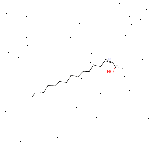 CCCCCCCCCCCCC/C=C\[C@H](C)O